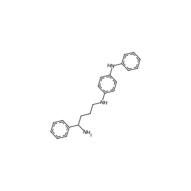 NC(CCCNc1ccc(Nc2ccccc2)cc1)c1ccccc1